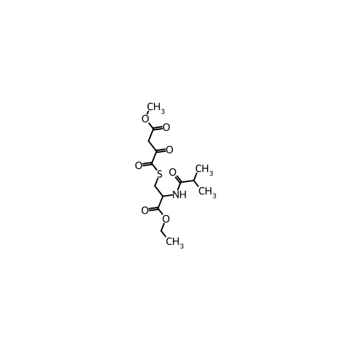 CCOC(=O)C(CSC(=O)C(=O)CC(=O)OC)NC(=O)C(C)C